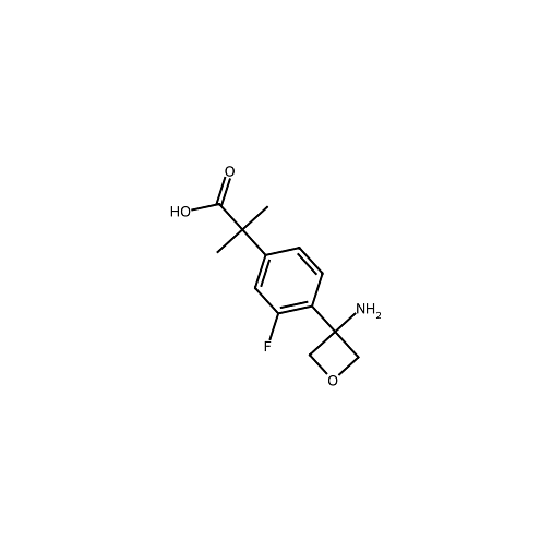 CC(C)(C(=O)O)c1ccc(C2(N)COC2)c(F)c1